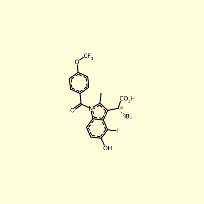 CCC(C)[C@@H](C(=O)O)c1c(C)n(C(=O)c2ccc(OC(F)(F)F)cc2)c2ccc(O)c(F)c12